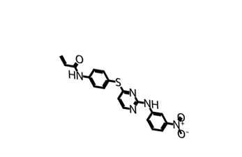 C=CC(=O)Nc1ccc(Sc2ccnc(Nc3cccc([N+](=O)[O-])c3)n2)cc1